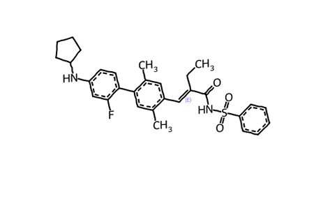 CC/C(=C\c1cc(C)c(-c2ccc(NC3CCCC3)cc2F)cc1C)C(=O)NS(=O)(=O)c1ccccc1